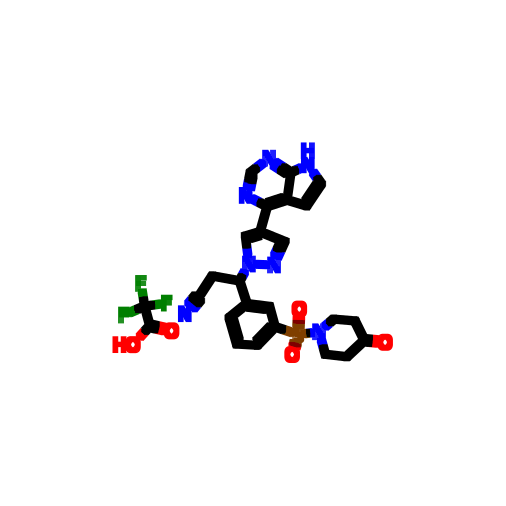 N#CCC(c1cccc(S(=O)(=O)N2CCC(=O)CC2)c1)n1cc(-c2ncnc3[nH]ccc23)cn1.O=C(O)C(F)(F)F